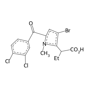 CCC(C(=O)O)c1c(Br)cc(C(=O)c2ccc(Cl)c(Cl)c2)n1C